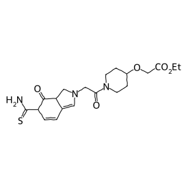 CCOC(=O)COC1CCN(C(=O)CN2C=C3C=CC(C(N)=S)C(=O)C3C2)CC1